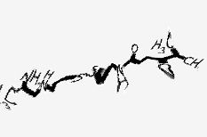 CC(C)C(=O)CCC(=O)NCCSSCCNC[C@H](C)N